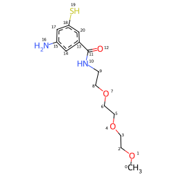 COCCOCCOCCNC(=O)c1cc(N)cc(S)c1